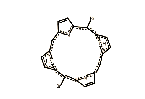 Brc1c2nc(cc3ccc([nH]3)c(Br)c3nc(cc4ccc1[nH]4)C=C3)C=C2